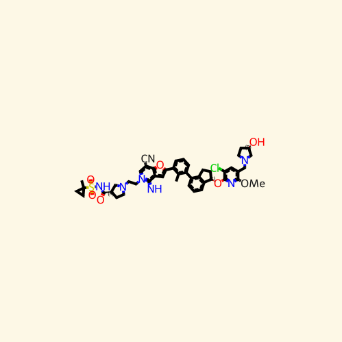 COc1nc(O[C@H]2CCc3c(-c4cccc(-c5cc6c(=N)n(CCN7CC[C@@H](C(=O)NS(=O)(=O)C8(C)CC8)C7)cc(C#N)c6o5)c4C)cccc32)c(Cl)cc1CN1CC[C@@H](O)C1